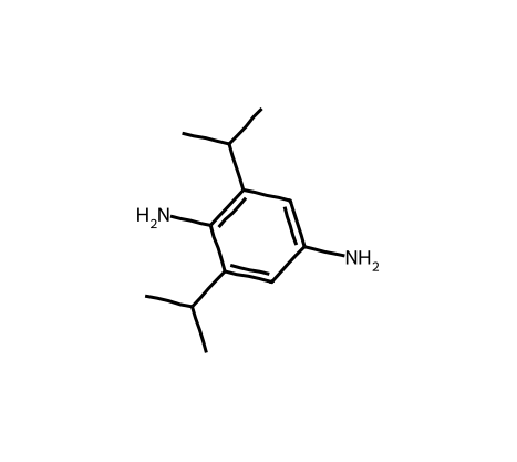 CC(C)c1cc(N)cc(C(C)C)c1N